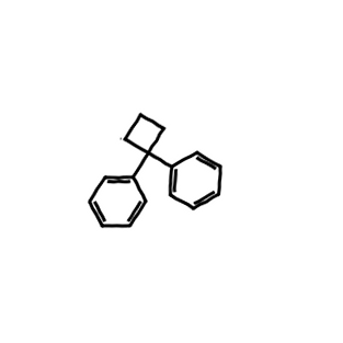 [CH]1CCC1(c1ccccc1)c1ccccc1